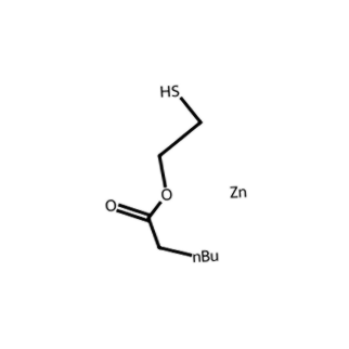 CCCCCC(=O)OCCS.[Zn]